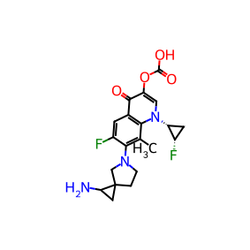 Cc1c(N2CCC3(CC3N)C2)c(F)cc2c(=O)c(OC(=O)O)cn([C@@H]3C[C@@H]3F)c12